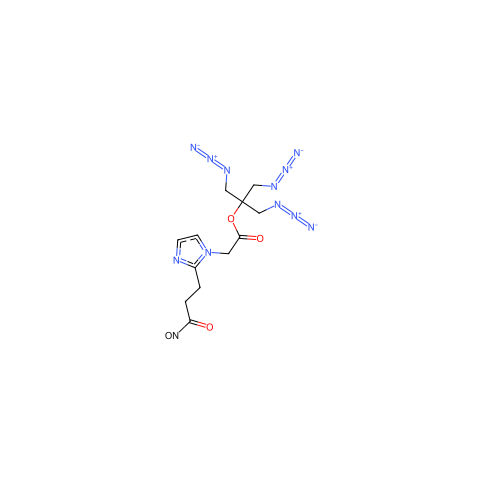 [N-]=[N+]=NCC(CN=[N+]=[N-])(CN=[N+]=[N-])OC(=O)Cn1ccnc1CCC(=O)N=O